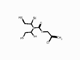 C=C(Cl)COC(=O)N(C(S)CS)C(S)CS